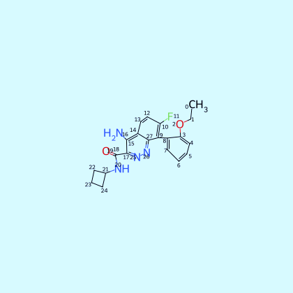 CCOc1ccccc1-c1c(F)ccc2c(N)c(C(=O)NC3CCC3)nnc12